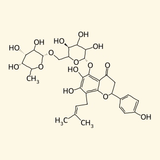 CC(C)=CCc1c(O)c(O)c(O[C@@H]2OC(CO[C@@H]3OC(C)[C@H](O)[C@H](O)C3O)[C@@H](O)C(O)C2O)c2c1OC(c1ccc(O)cc1)CC2=O